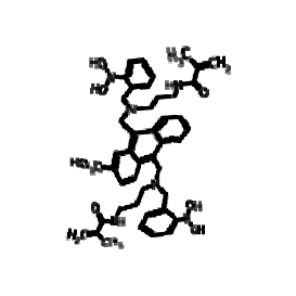 C=C(C)C(=O)NCCCN(Cc1ccccc1B(O)O)Cc1c2ccccc2c(CN(CCCNC(=O)C(=C)C)Cc2ccccc2N(O)O)c2cc(C(=O)O)ccc12